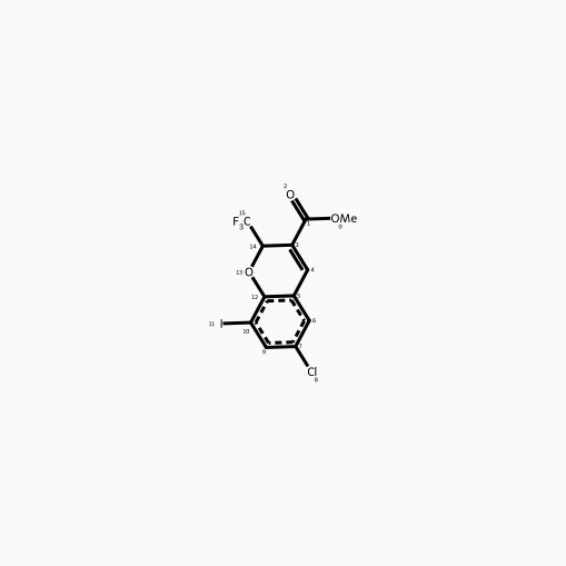 COC(=O)C1=Cc2cc(Cl)cc(I)c2OC1C(F)(F)F